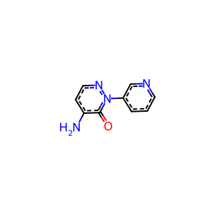 Nc1ccnn(-c2cccnc2)c1=O